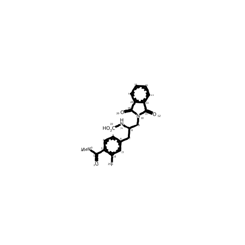 CNC(=O)c1ccc(CC(CN2C(=O)c3ccccc3C2=O)NC(=O)O)cc1F